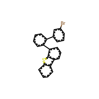 Brc1cccc(-c2ccccc2-c2cccc3c2sc2ccccc23)c1